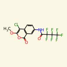 COc1oc(=O)c2cc(NC(=O)C(F)(F)C(F)(F)C(F)(F)F)ccc2c1Cl